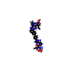 CC[C@H](C)[C@H](NC(=O)OC)C(=O)N1CCC[C@H]1c1ncc(-c2ccc(-c3ccc4c(ccc5nc([C@@H]6C[Si](C)(C)CN6C(=O)[C@@H](NC(=O)OC)[C@@H](C)CC)[nH]c54)c3)cc2)[nH]1